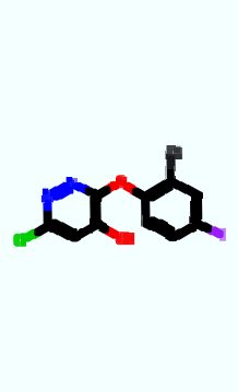 CCc1cc(I)ccc1Oc1nnc(Cl)cc1O